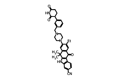 CCc1cc2c(cc1N1CCN(Cc3cccc(C4CCC(=O)NC4=O)c3)CC1)C(C)(C)c1[nH]c3cc(C#N)ccc3c1C2=O